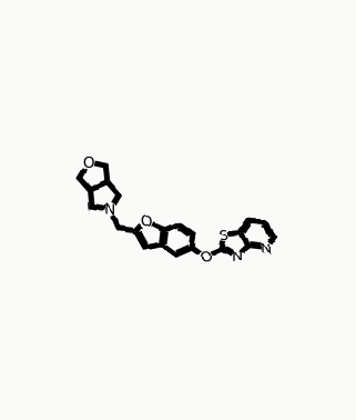 c1cnc2nc(Oc3ccc4oc(CN5CC6COCC6C5)cc4c3)sc2c1